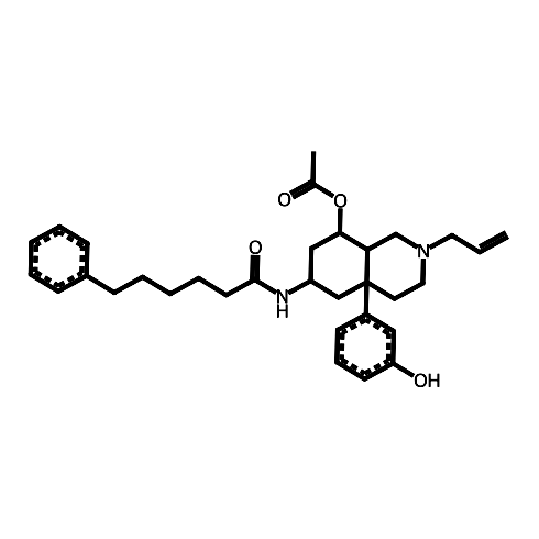 C=CCN1CCC2(c3cccc(O)c3)CC(NC(=O)CCCCCc3ccccc3)CC(OC(C)=O)C2C1